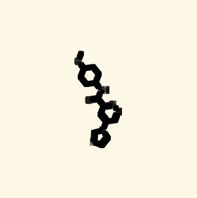 COC1CCC(NC(=O)c2cc(-n3ccnc3)cnn2)CC1